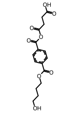 O=C(O)CCC(=O)OC(=O)c1ccc(C(=O)OCCCCO)cc1